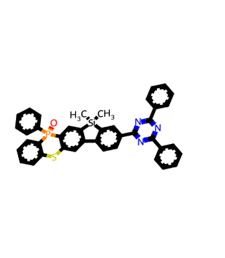 C[Si]1(C)c2cc(-c3nc(-c4ccccc4)nc(-c4ccccc4)n3)ccc2-c2cc3c(cc21)P(=O)(c1ccccc1)c1ccccc1S3